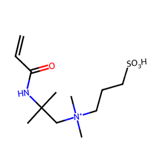 C=CC(=O)NC(C)(C)C[N+](C)(C)CCCS(=O)(=O)O